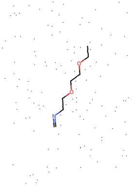 C=NCCOCCOCC